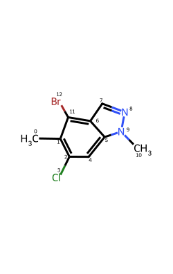 Cc1c(Cl)cc2c(cnn2C)c1Br